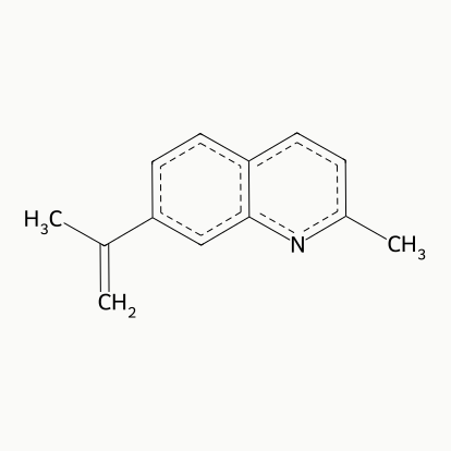 C=C(C)c1ccc2ccc(C)nc2c1